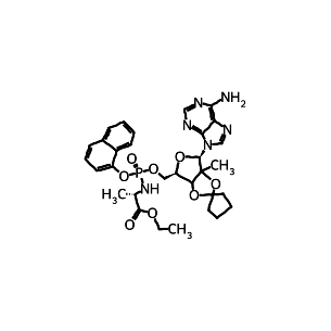 CCOC(=O)[C@H](C)NP(=O)(OC[C@H]1O[C@@H](n2cnc3c(N)ncnc32)C2(C)OC3(CCCC3)OC12)Oc1cccc2ccccc12